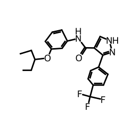 CCC(CC)Oc1cccc(NC(=O)c2c[nH]nc2-c2ccc(C(F)(F)F)cc2)c1